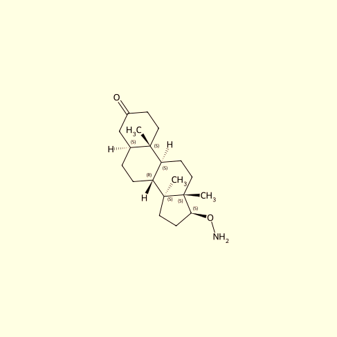 C[C@]12CCC(=O)C[C@@H]1CC[C@@H]1[C@@H]2CC[C@]2(C)[C@@H](ON)CC[C@@]12C